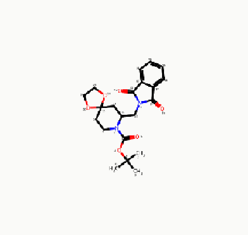 CC(C)(C)OC(=O)N1CCC2(CC1CN1C(=O)c3ccccc3C1=O)OCCO2